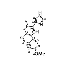 COc1ccc2cc(CC(C)C(O)c3c[nH]cn3)ccc2c1C